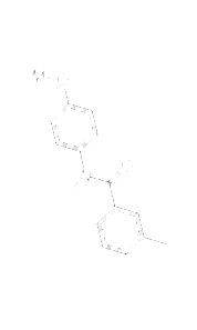 COc1ccc(N(C)C(=O)c2cccc(C)c2)cc1